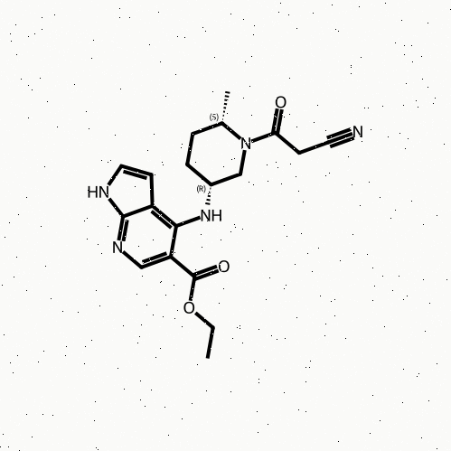 CCOC(=O)c1cnc2[nH]ccc2c1N[C@@H]1CC[C@H](C)N(C(=O)CC#N)C1